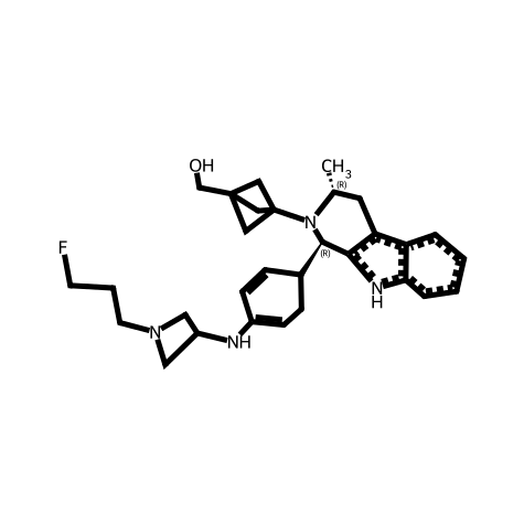 C[C@@H]1Cc2c([nH]c3ccccc23)[C@@H](C2C=CC(NC3CN(CCCF)C3)=CC2)N1C12CC(CO)(C1)C2